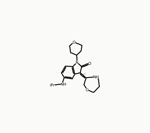 CC(C)Nc1ccc2c(c1)/C(=C1\COCCCN1)C(=O)N2C1CCOCC1